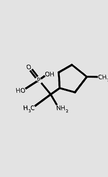 CC1CCC(C(C)(N)P(=O)(O)O)C1